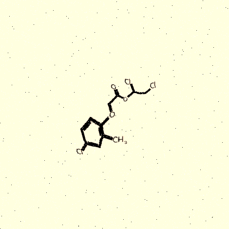 Cc1cc(Cl)ccc1OCC(=O)OC(Cl)CCl